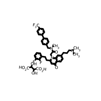 CN(C)CCCc1ccc2c(=O)cc(CCc3cccc(F)c3F)n(CC(=O)N(C)Cc3ccc(-c4ccc(C(F)(F)F)cc4)cc3)c2c1.O=C(O)C(O)C(O)C(=O)O